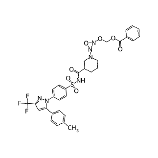 Cc1ccc(-c2cc(C(F)(F)F)nn2-c2ccc(S(=O)(=O)NC(=O)C3CCCN(n4on4OCOC(=O)c4ccccc4)C3)cc2)cc1